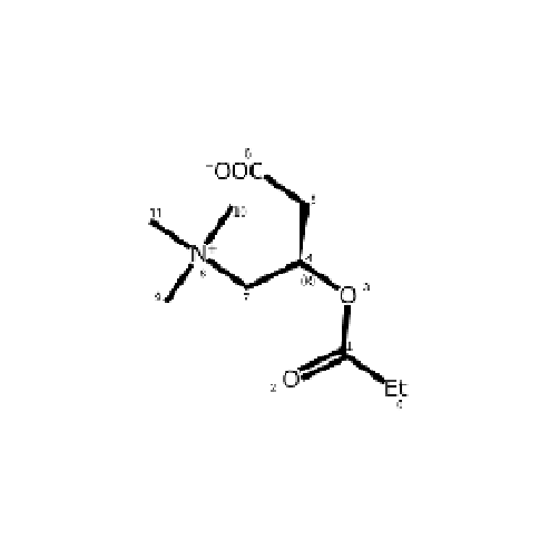 CCC(=O)O[C@H](CC(=O)[O-])C[N+](C)(C)C